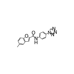 Cc1ccc2oc(C(=O)Nc3ccc(-n4cnnn4)cc3)cc2c1